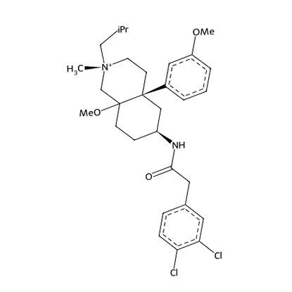 COc1cccc([C@]23CC[N@@+](C)(CC(C)C)CC2(OC)CC[C@H](NC(=O)Cc2ccc(Cl)c(Cl)c2)C3)c1